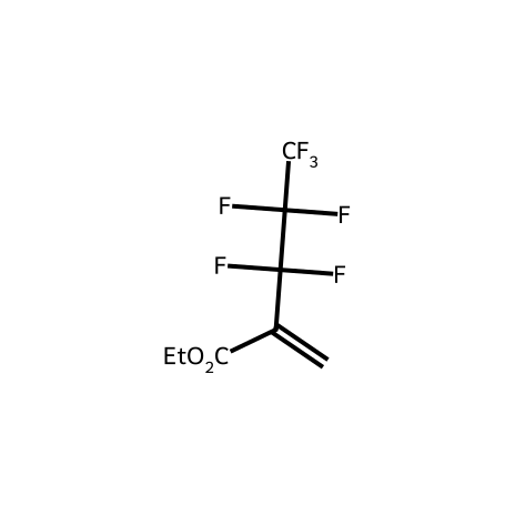 C=C(C(=O)OCC)C(F)(F)C(F)(F)C(F)(F)F